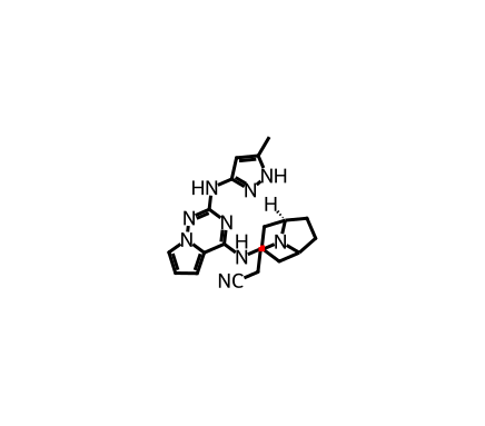 Cc1cc(Nc2nc(NC3CC4CC[C@H](C3)N4CCC#N)c3cccn3n2)n[nH]1